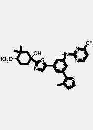 Cc1ccsc1-c1cc(Nc2nccc(C(F)(F)F)n2)cc(-c2cnc([C@@]3(O)CC[C@H](C(=O)O)C(C)(C)C3)s2)c1